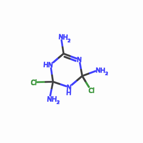 NC1=NC(N)(Cl)NC(N)(Cl)N1